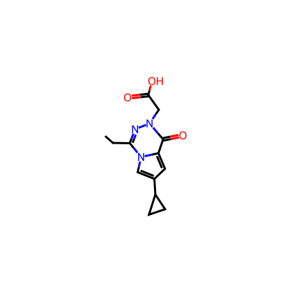 CCc1nn(CC(=O)O)c(=O)c2cc(C3CC3)cn12